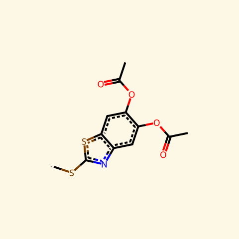 [CH2]Sc1nc2cc(OC(C)=O)c(OC(C)=O)cc2s1